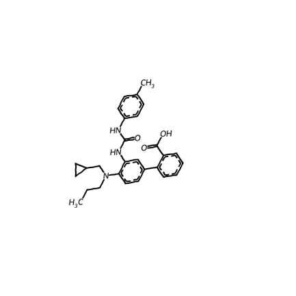 CCCN(CC1CC1)c1ccc(-c2ccccc2C(=O)O)cc1NC(=O)Nc1ccc(C)cc1